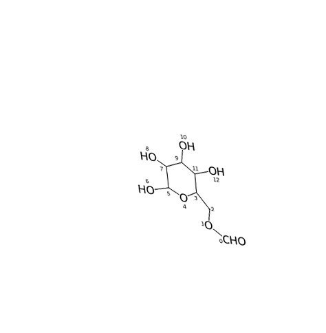 O=COCC1OC(O)C(O)C(O)C1O